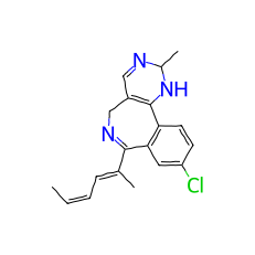 C/C=C\C=C(/C)C1=NCC2=C(NC(C)N=C2)c2ccc(Cl)cc21